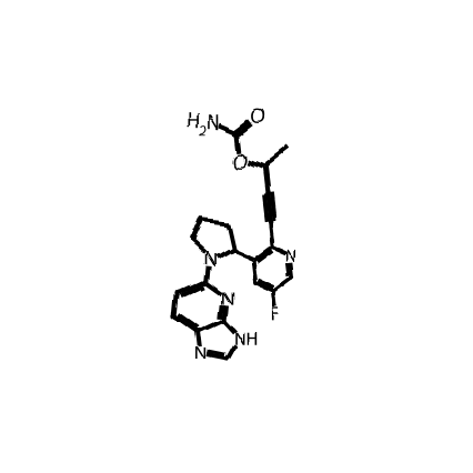 CC(C#Cc1ncc(F)cc1C1CCCN1c1ccc2nc[nH]c2n1)OC(N)=O